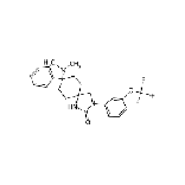 CN(C)C1(c2ccccc2)CCC2(CC1)CN(c1cccc(OC(F)(F)F)c1)C(=O)N2